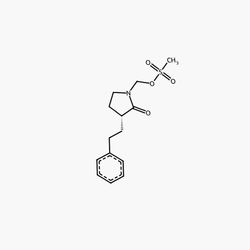 CS(=O)(=O)OCN1CC[C@@H](CCc2ccccc2)C1=O